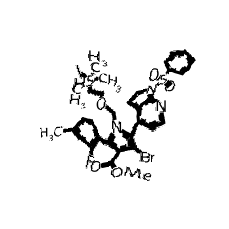 COC(=O)c1c(Br)c(-c2ccnc3c2ccn3S(=O)(=O)c2ccccc2)n(COCC[SH](C)(C)(C)I)c1-c1ccc(C)cc1F